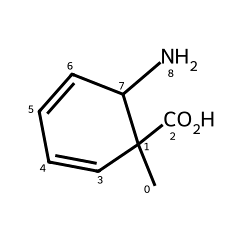 CC1(C(=O)O)C=CC=CC1N